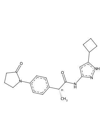 C[C@@H](C(=O)Nc1cc(C2CCC2)[nH]n1)c1ccc(N2CCCC2=O)cc1